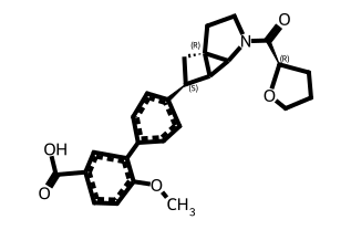 COc1ccc(C(=O)O)cc1-c1ccc([C@H]2C[C@]34CCN(C(=O)[C@H]5CCCO5)C3C24)cc1